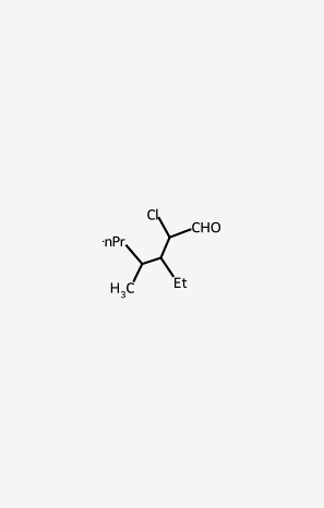 CC[CH]C(C)C(CC)C(Cl)C=O